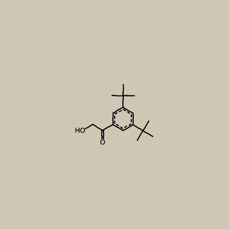 CC(C)(C)c1cc(C(=O)CO)cc(C(C)(C)C)c1